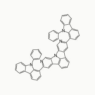 c1ccc(-n2c3ccccc3c3cccc(-c4cc5c6cccc7c8cc(-c9cccc%10c%11ccccc%11n(-c%11ccccc%11)c9%10)ncc8n(c5cn4)c67)c32)cc1